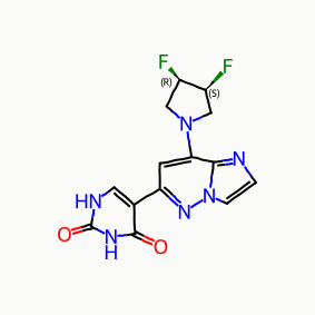 O=c1[nH]cc(-c2cc(N3C[C@@H](F)[C@@H](F)C3)c3nccn3n2)c(=O)[nH]1